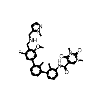 COc1cc(-c2cccc(-c3cccc(NC(=O)c4cn(C)c(=O)n(C)c4=O)c3C)c2C)cc(F)c1CNCc1ccnn1C